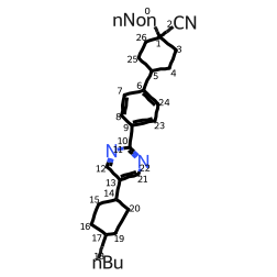 CCCCCCCCCC1(C#N)CCC(c2ccc(-c3ncc(C4CCC(CCCC)CC4)cn3)cc2)CC1